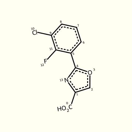 O=C(O)c1coc(-c2cccc(Cl)c2F)n1